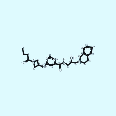 CCCC(=O)N1CC(Nc2cc(C(=O)NCC(O)CN3CCc4ccccc4C3)ncn2)C1